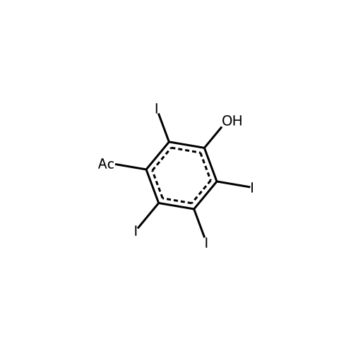 CC(=O)c1c(I)c(O)c(I)c(I)c1I